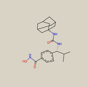 CC(C)[C@@H](NC(=O)NC12CC3CC(CC(C3)C1)C2)c1ccc(C(=O)NO)cc1